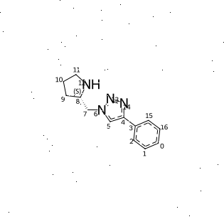 c1ccc(-c2cn(C[C@@H]3CCCN3)nn2)cc1